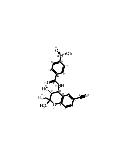 CC1(C)Oc2ccc(C#N)cc2[C@H](NC(=O)c2ccc([N+](=O)[O-])cc2)[C@H]1O